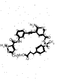 COC(=O)CCc1ccc(S(C)(=O)=NC(=O)c2cnc(N)c(C#Cc3cccc(NC(=O)c4cc(C)nn4C)c3)c2)cc1